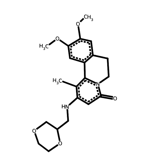 COc1cc2c(cc1OC)-c1c(C)c(NCC3COCCO3)cc(=O)n1CC2